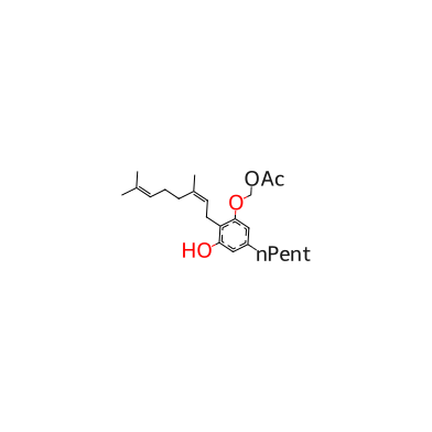 CCCCCc1cc(O)c(CC=C(C)CCC=C(C)C)c(OCOC(C)=O)c1